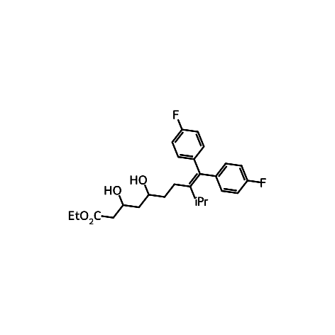 CCOC(=O)CC(O)CC(O)CCC(=C(c1ccc(F)cc1)c1ccc(F)cc1)C(C)C